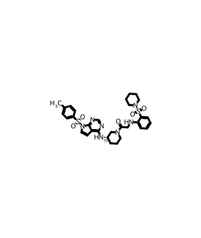 Cc1ccc(S(=O)(=O)n2ccc3c(N[C@H]4CCCN(C(=O)CNc5ccccc5S(=O)(=O)N5CCCCC5)C4)ncnc32)cc1